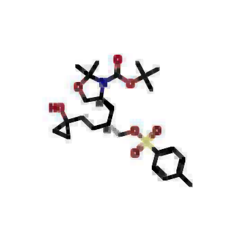 Cc1ccc(S(=O)(=O)OC[C@H](CCC2(O)CC2)C[C@H]2COC(C)(C)N2C(=O)OC(C)(C)C)cc1